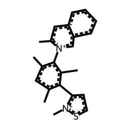 Cc1cc(C)c(-[n+]2cc3ccccc3cc2C)c(C)c1-c1ccs[n+]1C